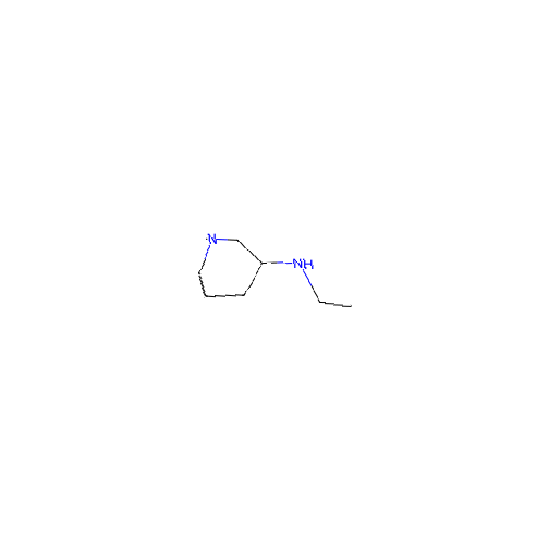 CCNC1CCC[N]C1